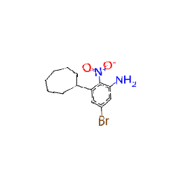 Nc1cc(Br)cc(C2CCCCCC2)c1[N+](=O)[O-]